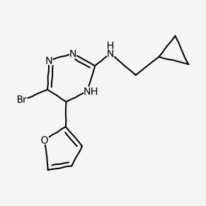 BrC1=NN=C(NCC2CC2)NC1c1ccco1